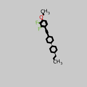 CCC[C@H]1CC[C@H](C2CCC(C#Cc3ccc(OCC)c(F)c3F)CC2)CC1